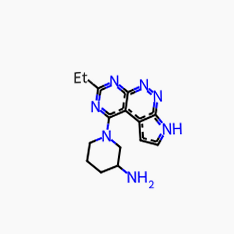 CCc1nc(N2CCCC(N)C2)c2c(nnc3[nH]ccc32)n1